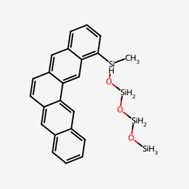 C[SiH](O[SiH2]O[SiH2]O[SiH3])c1cccc2cc3ccc4cc5ccccc5cc4c3cc12